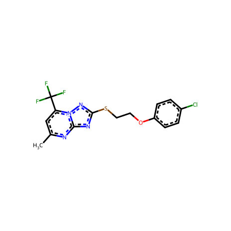 Cc1cc(C(F)(F)F)n2nc(SCCOc3ccc(Cl)cc3)nc2n1